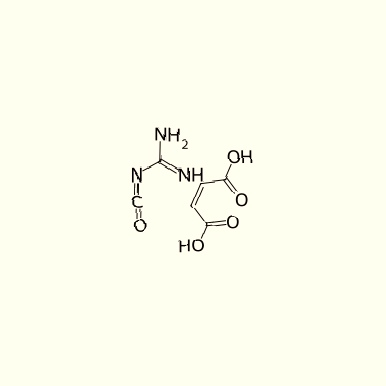 N=C(N)N=C=O.O=C(O)/C=C\C(=O)O